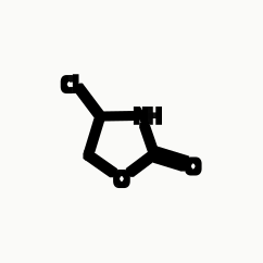 O=C1NC(Cl)CO1